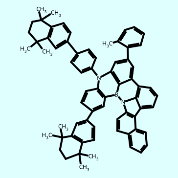 Cc1ccccc1-c1cc2c3c(c1)N(c1ccc(-c4ccc5c(c4)C(C)(C)CCC5(C)C)cc1)c1ccc(-c4ccc5c(c4)C(C)(C)CCC5(C)C)cc1B3n1c3ccc4ccccc4c3c3cccc-2c31